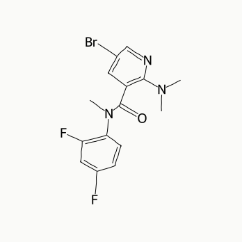 CN(C)c1ncc(Br)cc1C(=O)N(C)c1ccc(F)cc1F